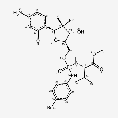 COC(=O)[C@@H](NP(=O)(OC[C@H]1O[C@@H](n2ccc(N)nc2=O)[C@](C)(F)[C@@H]1O)Pc1ccc(Br)cc1)C(C)C